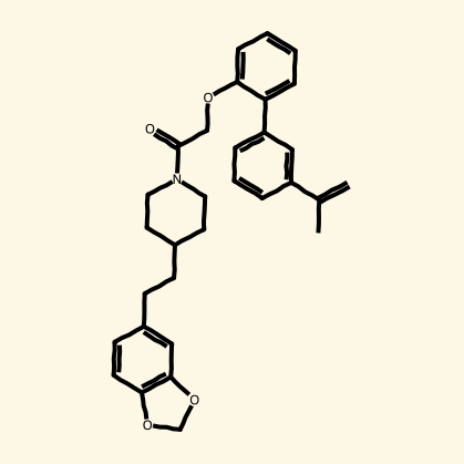 C=C(C)c1cccc(-c2ccccc2OCC(=O)N2CCC(CCc3ccc4c(c3)OCO4)CC2)c1